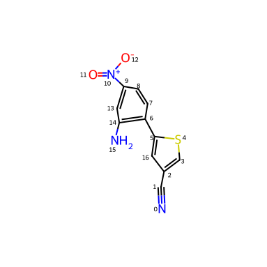 N#Cc1csc(-c2ccc([N+](=O)[O-])cc2N)c1